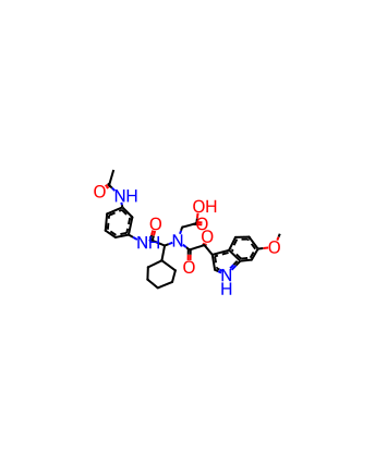 COc1ccc2c(C(=O)C(=O)N(CC(=O)O)C(C(=O)Nc3cccc(NC(C)=O)c3)C3CCCCC3)c[nH]c2c1